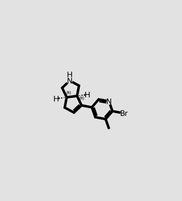 Cc1cc(C2=CC[C@H]3CNC[C@@H]23)cnc1Br